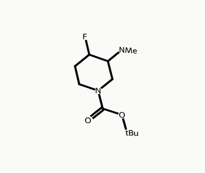 CNC1CN(C(=O)OC(C)(C)C)CCC1F